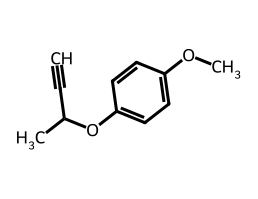 C#CC(C)Oc1ccc(OC)cc1